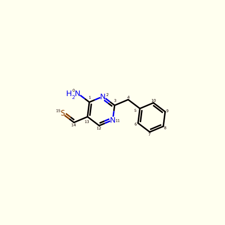 Nc1nc(Cc2ccccc2)ncc1C=S